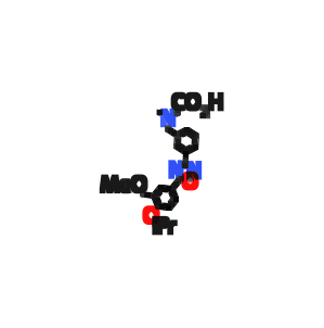 COCc1cc(-c2nc(-c3cccc(CN(C)CC(=O)O)c3)no2)ccc1OC(C)C